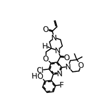 C=CC(=O)N1CCN2C(=O)c3c(N4CCOC(C)(C)C4)nc(-c4c(O)cccc4F)c(Cl)c3OC[C@@H]2C1